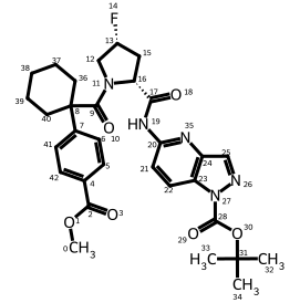 COC(=O)c1ccc(C2(C(=O)N3C[C@H](F)C[C@@H]3C(=O)Nc3ccc4c(cnn4C(=O)OC(C)(C)C)n3)CCCCC2)cc1